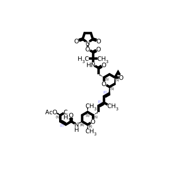 CC(=O)O[C@@H](C)/C=C\C(=O)N[C@@H]1C[C@H](C)[C@H](C/C=C(C)/C=C/[C@@H]2C[C@]3(CO3)C[C@@H](CC(=O)NC(C)(C)C(=O)ON3C(=O)CCC3=O)O2)O[C@@H]1C